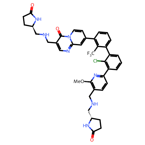 COc1nc(-c2cccc(-c3cccc(-c4ccn5c(=O)c(CNC[C@H]6CCC(=O)N6)cnc5c4)c3C(F)(F)F)c2Cl)ccc1CNC[C@@H]1CCC(=O)N1